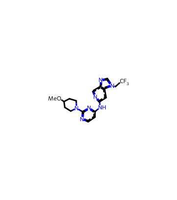 COC1CCN(c2nccc(Nc3cc4c(cn3)ncn4CC(F)(F)F)n2)CC1